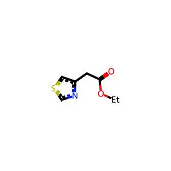 CCOC(=O)Cc1cs[c]n1